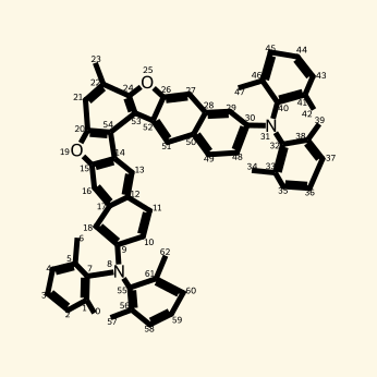 Cc1cccc(C)c1N(c1ccc2cc3c(cc2c1)oc1cc(C)c2oc4cc5cc(N(c6c(C)cccc6C)c6c(C)cccc6C)ccc5cc4c2c13)c1c(C)cccc1C